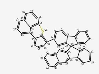 c1ccc2c(c1)-c1ccc(-c3cccc4c3Sc3cccc5cccc-4c35)cc1C21c2ccccc2-c2cc3ccccc3cc21